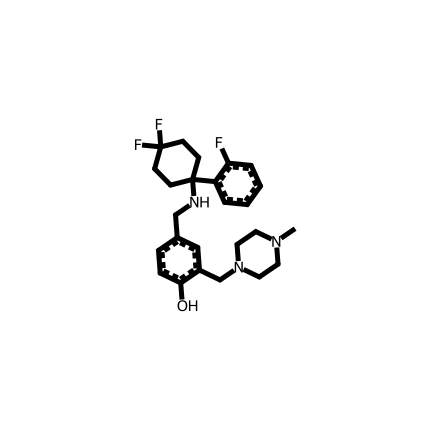 CN1CCN(Cc2cc(CNC3(c4ccccc4F)CCC(F)(F)CC3)ccc2O)CC1